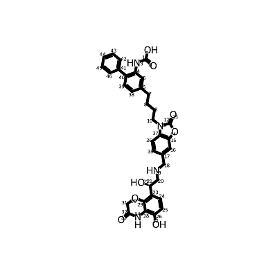 O=C(O)Nc1cc(CCCCn2c(=O)oc3cc(CNC[C@H](O)c4ccc(O)c5c4OCC(=O)N5)ccc32)ccc1-c1ccccc1